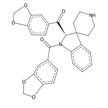 O=C(c1ccc2c(c1)OCO2)[C@@H]1N(C(=O)c2ccc3c(c2)OCO3)c2ccccc2C12CCNCC2